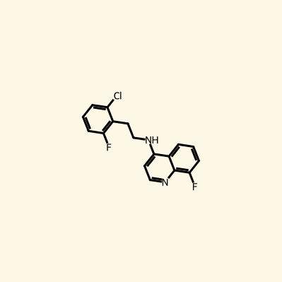 Fc1cccc(Cl)c1CCNc1ccnc2c(F)cccc12